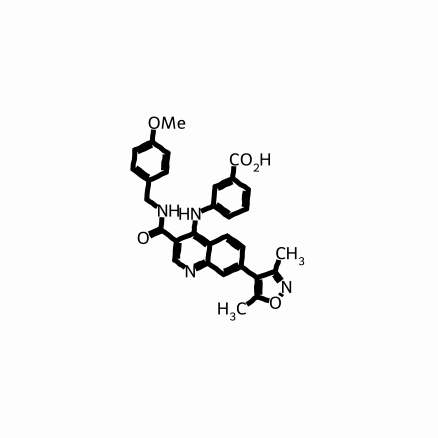 COc1ccc(CNC(=O)c2cnc3cc(-c4c(C)noc4C)ccc3c2Nc2cccc(C(=O)O)c2)cc1